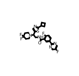 O=C(NCC(c1cnc(C2CCC2)s1)N1CCC(F)(F)CC1)c1cc(-c2ncc(F)cn2)ccc1F